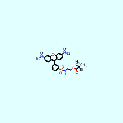 CCN(CC)c1ccc2c(c1)OC1=CC(N(CC)CC)C=CC1=C2c1cccc(S(=O)(=O)NCCOC(=O)C(C)(C)CC)c1